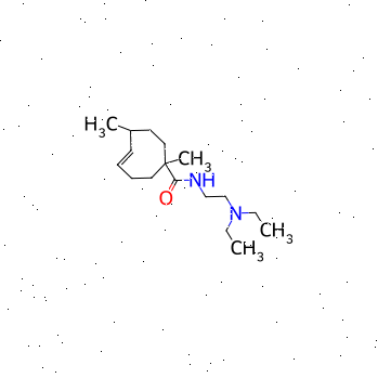 CCN(CC)CCNC(=O)C1(C)CC/C=C/C(C)CC1